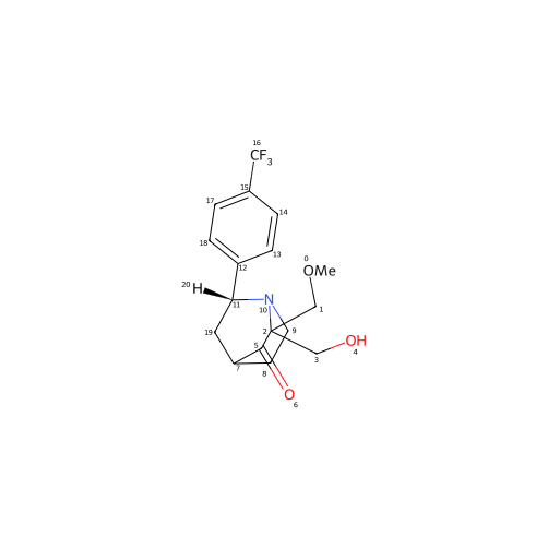 COCC1(CO)C(=O)C2CCN1[C@@H](c1ccc(C(F)(F)F)cc1)C2